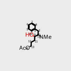 CN[C@H](Cc1ccccc1)C(O)CCCOC(C)=O